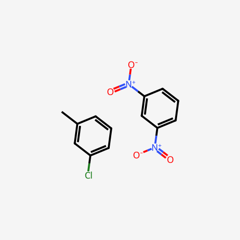 Cc1cccc(Cl)c1.O=[N+]([O-])c1cccc([N+](=O)[O-])c1